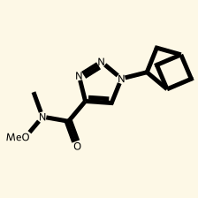 CON(C)C(=O)c1cn(C2CC3CC2C3)nn1